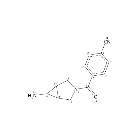 N#Cc1ccc(C(=O)N2CC3C(N)C3C2)cc1